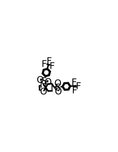 O=S(=O)(c1ccc(C(F)(F)F)cc1)N1CCC2(CC1)OCCN2S(=O)(=O)c1ccc(C(F)(F)F)cc1